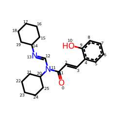 O=C(/C=C/c1ccccc1O)N(/C=N/C1CCCCC1)C1CCCCC1